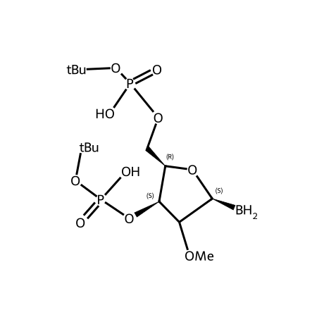 B[C@@H]1O[C@H](COP(=O)(O)OC(C)(C)C)[C@H](OP(=O)(O)OC(C)(C)C)C1OC